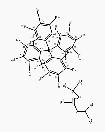 CCC(CC)C[NH+](CC)CC(CC)CC.Fc1c(F)c(F)c([B-](c2c(F)c(F)c(F)c(F)c2F)(c2c(F)c(F)c(F)c(F)c2F)c2c(F)c(F)c(F)c(F)c2F)c(F)c1F